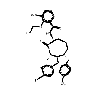 COc1ccnc(C(=O)N[C@H]2CCC[C@H](Cc3ccc(C(F)(F)F)cc3)[C@@H](Cc3ccc(F)cc3)[C@H](C)OC2=O)c1OCOC(C)=O